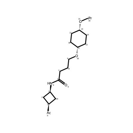 CC(=O)[C@H]1C[C@@H](NC(=O)CCCO[C@H]2CC[C@@H](OC(C)C)CC2)C1